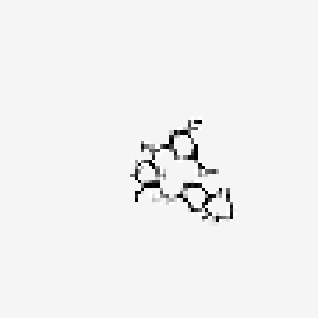 COc1cc(Nc2ncc(F)c(Nc3ccc4c(c3)NC=CO4)n2)cc(OC)c1